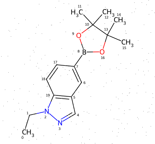 CCn1ncc2cc(B3OC(C)(C)C(C)(C)O3)ccc21